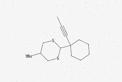 CC#CC1(C2SCC(C(C)(C)C)CS2)CCCCC1